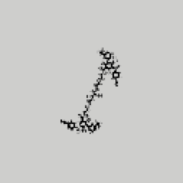 Cc1c([S+]([O-])c2ccc(C#N)cc2)cc(C(=O)NCCOCCCNC(=N)NCCCOCCNC(=O)c2cc([S+]([O-])c3ccc(C#N)cc3)c(C)n(-c3cccc(C(F)(F)F)c3)c2=O)c(=O)n1-c1cccc(C(F)(F)F)c1